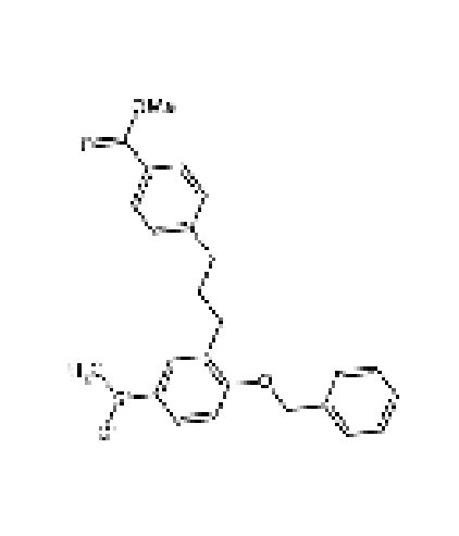 COC(=O)c1ccc(CCCc2cc([S+](C)[O-])ccc2OCc2ccccc2)cc1